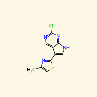 Cc1csc(-c2c[nH]c3nc(Cl)ncc23)n1